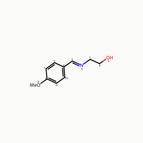 COc1ccc(C=NCCO)cc1